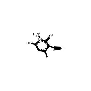 Cc1cc(O)n(N)c(=O)c1C#N